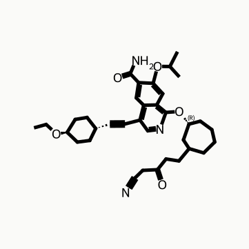 CCO[C@H]1CC[C@H](C#Cc2cnc(O[C@@H]3CCCCC(CCC(=O)CC#N)C3)c3cc(OC(C)C)c(C(N)=O)cc23)CC1